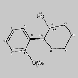 COc1ccccc1[C@@H]1CCCC[C@H]1O